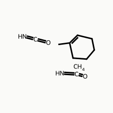 C.CC1=CCCCC1.N=C=O.N=C=O